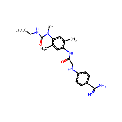 CCOC(=O)CNC(=O)N(c1cc(C)c(NC(=O)CNc2ccc(C(=N)N)cc2)cc1C)C(C)C